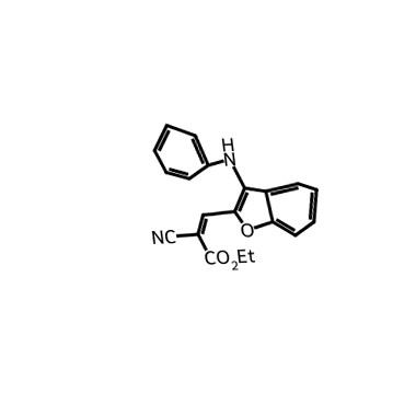 CCOC(=O)/C(C#N)=C\c1oc2ccccc2c1Nc1ccccc1